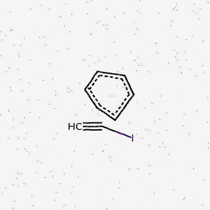 C#CI.c1ccccc1